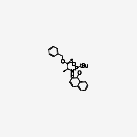 C[C@H](NP(=O)(Oc1cccc2ccccc12)C(C)(C)C)C(=S)OCc1ccccc1